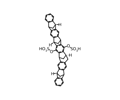 O=S(=O)(O)Oc1c2c(c(OS(=O)(=O)O)c3c1[C@H]1Cc4cc5c(cc4C3C1)[C@@H]1CC5c3ccccc31)[C@H]1CC2c2cc3c(cc21)C1C[C@@H]3c2ccccc21